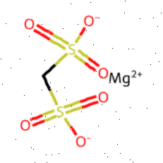 O=S(=O)([O-])CS(=O)(=O)[O-].[Mg+2]